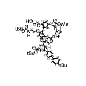 CCCCc1ccc(-c2ccc(C(=O)N[C@@H](CNC(=O)OC(C)(C)C)C(=O)N(C)[C@@H]3C(=O)N[C@@H](C)C(=O)N[C@H](C(=O)OC)Cc4ccc(OCCO)c(c4)-c4cc3ccc4OCCNC(=O)OC(C)(C)C)cc2)cc1